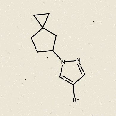 Brc1cnn(C2CCC3(CC3)C2)c1